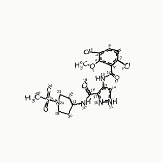 COc1c(Cl)ccc(Cl)c1C(=O)Nc1c[nH]nc1C(=O)NC1CCN(S(C)(=O)=O)CC1